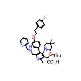 Cc1nc(CNCc2ccccn2)c(-c2ccc(OCCc3ccc(F)cc3)cc2)c(N2CCC(C)(C)CC2)c1[C@H](OC(C)(C)C)C(=O)O